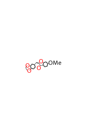 COc1ccc2c(c1)OC(=Cc1ccc3c(c1)OCCO3)C2=O